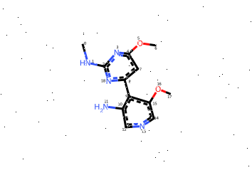 CNc1nc(OC)cc(-c2c(N)cncc2OC)n1